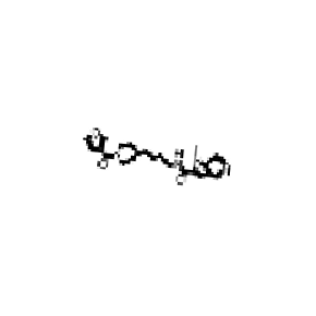 O=C(NCCCCC1CCN(C(=O)c2ccoc2)CC1)c1cc2cnccc2[nH]1